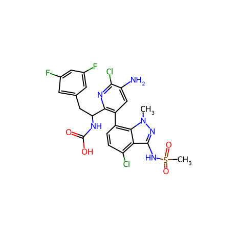 Cn1nc(NS(C)(=O)=O)c2c(Cl)ccc(-c3cc(N)c(Cl)nc3C(Cc3cc(F)cc(F)c3)NC(=O)O)c21